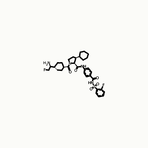 N[C@H](CF)[C@H]1CC[C@H](C(=O)N2CC[C@@H](C3CCCCC3)[C@H]2C(=O)Nc2ccc(C(=O)NS(=O)(=O)c3ccccc3F)cc2)CC1